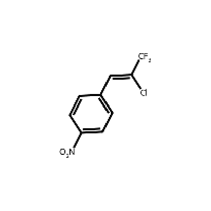 O=[N+]([O-])c1ccc(C=C(Cl)C(F)(F)F)cc1